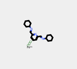 C(=NC1CCCCC1)c1cccc(C=NC2CCCCC2)n1.[Cl-].[Cl-].[Cl-].[Fe+3]